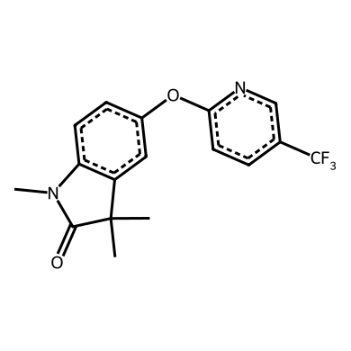 CN1C(=O)C(C)(C)c2cc(Oc3ccc(C(F)(F)F)cn3)ccc21